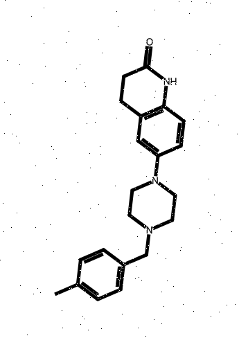 Cc1ccc(CN2CCN(c3ccc4c(c3)CCC(=O)N4)CC2)cc1